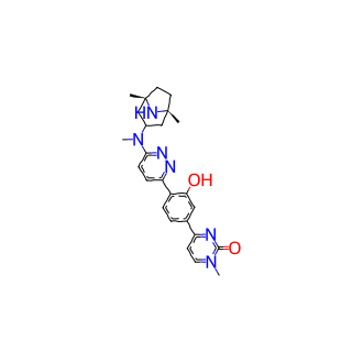 CN(c1ccc(-c2ccc(-c3ccn(C)c(=O)n3)cc2O)nn1)C1C[C@]2(C)CC[C@](C)(C1)N2